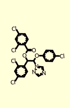 O=C(OC(c1ccc(Cl)cc1Cl)C(Oc1ccc(Cl)cc1)n1cncn1)c1ccc(Cl)cc1Cl